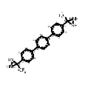 FC(F)(F)C1(c2ccc(-c3ccc(-c4ccc(C5(C(F)(F)F)NN5)cc4)cc3)cc2)NN1